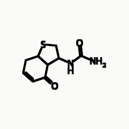 NC(=O)NC1CSC2CC=CC(=O)C12